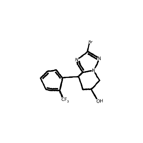 OC1CC(c2ccccc2C(F)(F)F)c2nc(Br)nn2C1